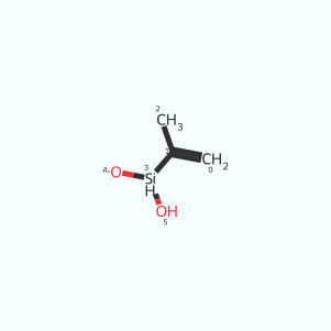 C=C(C)[SiH]([O])O